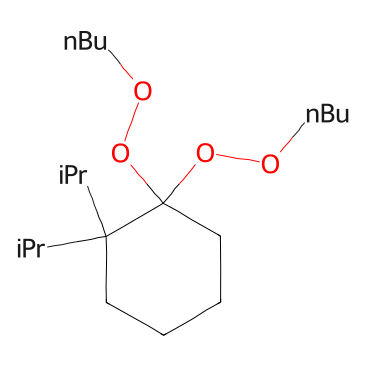 CCCCOOC1(OOCCCC)CCCCC1(C(C)C)C(C)C